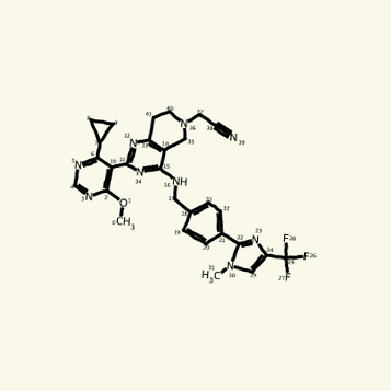 COc1ncnc(C2CC2)c1-c1nc2c(c(NCc3ccc(-c4nc(C(F)(F)F)cn4C)cc3)n1)CN(CC#N)CC2